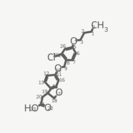 CCCCOc1ccc(COc2ccc3c(c2)OCC3CC(=O)O)c(Cl)c1